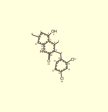 Cc1cc(O)c2c(C)c(Cc3ccc(Cl)cc3Cl)c(=O)[nH]c2c1